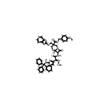 CON=C(C(=O)NC1C(=O)N2CC(CSc3nc4ccncc4s3)(C(=O)OCc3ccc(OC)cc3)CS[C@H]12)c1csc(NC(c2ccccc2)(c2ccccc2)c2ccccc2)n1